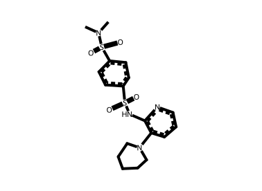 CN(C)S(=O)(=O)c1ccc(S(=O)(=O)Nc2ncccc2N2CCCCC2)cc1